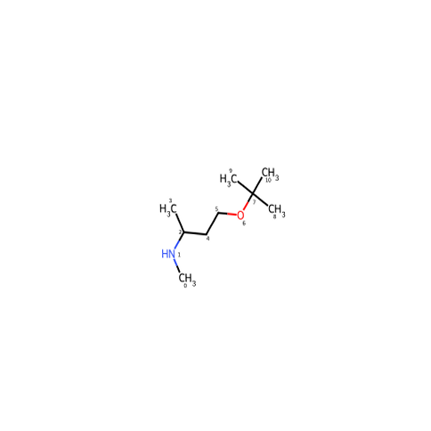 CNC(C)CCOC(C)(C)C